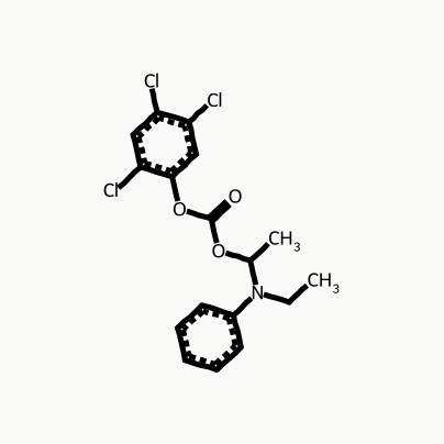 CCN(c1ccccc1)C(C)OC(=O)Oc1cc(Cl)c(Cl)cc1Cl